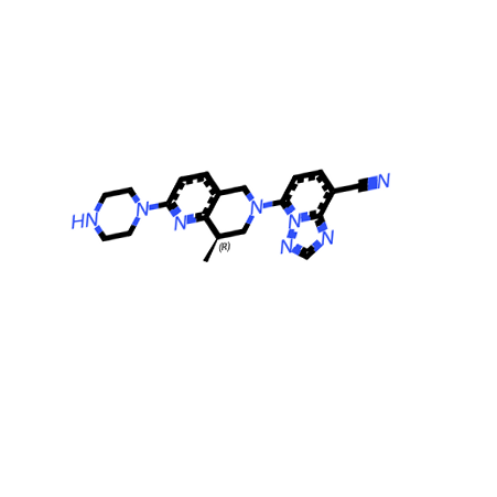 C[C@@H]1CN(c2ccc(C#N)c3ncnn23)Cc2ccc(N3CCNCC3)nc21